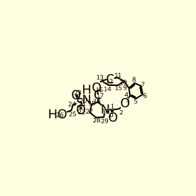 O=C1COc2ccccc2C2CCC(CC2)OCC2[C@@H](NS(=O)(=O)CCO)CCCN12